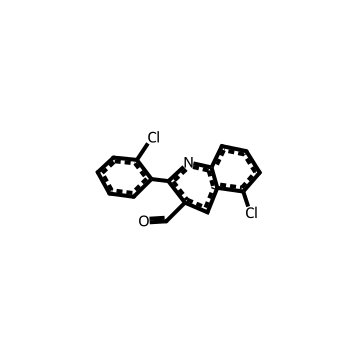 O=Cc1cc2c(Cl)cccc2nc1-c1ccccc1Cl